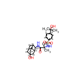 CC(C)(NS(=O)(=O)c1ccc(C(C)(C)O)cc1)C(=O)NC1C2CC3CC1CC(O)(C3)C2